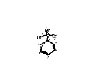 Br[PH](Br)(Br)C1C=CC=CS1